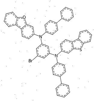 Brc1cc(N(c2ccc(-c3ccccc3)cc2)c2ccc3c(c2)oc2ccccc23)cc(N(c2ccc(-c3ccccc3)cc2)c2ccc3c(c2)sc2ccccc23)c1